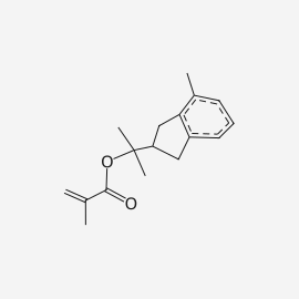 C=C(C)C(=O)OC(C)(C)C1Cc2cccc(C)c2C1